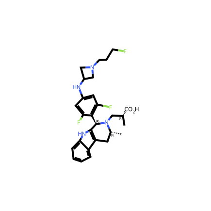 C[C@H](CN1[C@H](c2c(F)cc(NC3CN(CCCF)C3)cc2F)c2[nH]c3ccccc3c2C[C@H]1C)C(=O)O